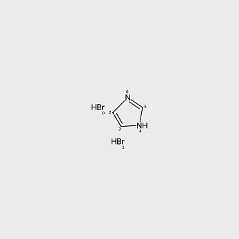 Br.Br.c1c[nH]cn1